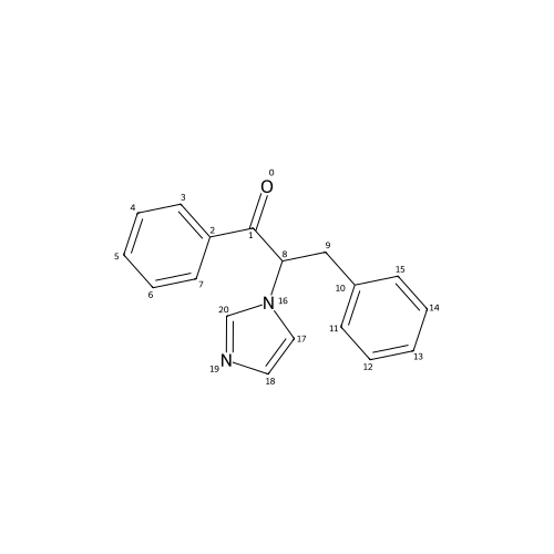 O=C(c1ccccc1)C(Cc1ccccc1)n1ccnc1